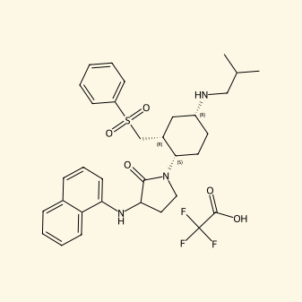 CC(C)CN[C@@H]1CC[C@H](N2CCC(Nc3cccc4ccccc34)C2=O)[C@H](CS(=O)(=O)c2ccccc2)C1.O=C(O)C(F)(F)F